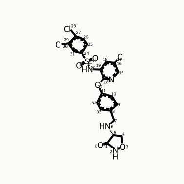 O=C1NOC[C@H]1NCc1ccc(Oc2ncc(Cl)cc2NS(=O)(=O)c2ccc(Cl)c(Cl)c2)cc1